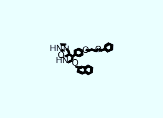 O=C1NCCN1CC1CNCC(OCc2ccc3ccccc3c2)C1c1ccc(OCCCOCc2ccccc2)cc1